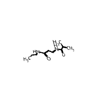 CCCNC(=O)CCNC(=O)C(C)C